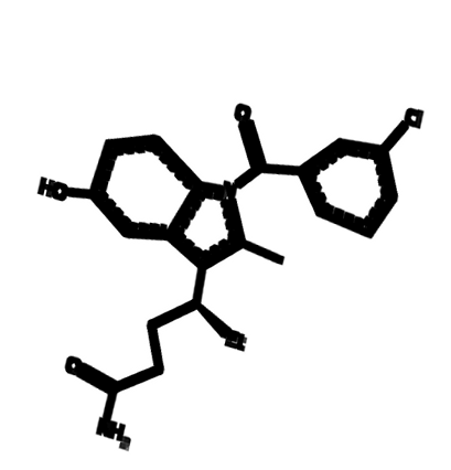 CC[C@@H](CCC(N)=O)c1c(C)n(C(=O)c2cccc(Cl)c2)c2ccc(O)cc12